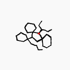 CCCCC1(CC(C2(CCCC)CCCCC2)C2(CCCC)CCCCC2)CCCCC1